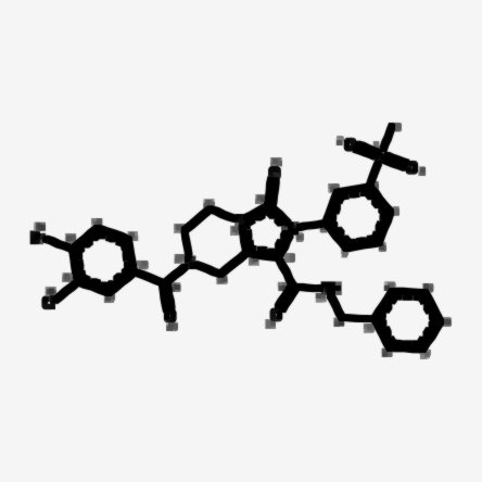 CS(=O)(=O)c1cccc(-n2c(C(=O)NCc3ccccc3)c3n(c2=O)CCN(C(=O)c2ccc(Br)c(Cl)c2)C3)c1